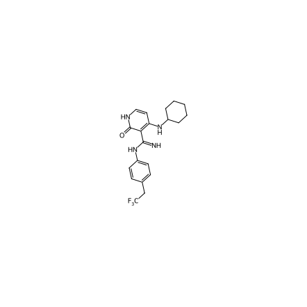 N=C(Nc1ccc(CC(F)(F)F)cc1)c1c(NC2CCCCC2)cc[nH]c1=O